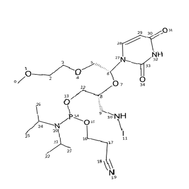 COCCOC[C@@H](O[C@H](CNI)COP(OCCC#N)N(C(C)C)C(C)C)n1ccc(=O)[nH]c1=O